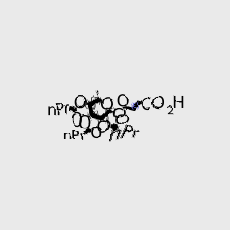 CCCC(=O)O[C@@H]1[C@@H](OC(=O)CCC)[C@H](C)O[C@@H](OC(=O)/C=C/C(=O)O)[C@@H]1OC(=O)CCC